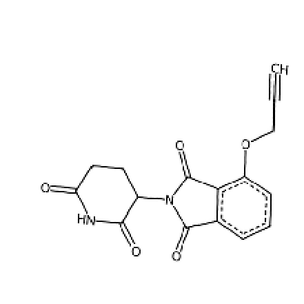 C#CCOc1cccc2c1C(=O)N(C1CCC(=O)NC1=O)C2=O